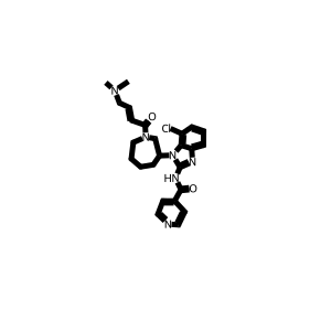 CN(C)C/C=C/C(=O)N1CCCCC(n2c(NC(=O)c3ccncc3)nc3cccc(Cl)c32)C1